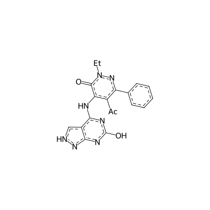 CCn1nc(-c2ccccc2)c(C(C)=O)c(Nc2nc(O)nc3n[nH]cc23)c1=O